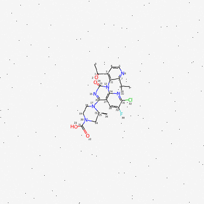 CC(=O)c1ccnc(C(C)C)c1-n1c(=O)nc(N2CCN(C(=O)O)C[C@@H]2C)c2cc(F)c(Cl)nc21